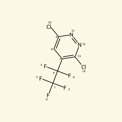 FC(F)(F)C(F)(F)c1cc(Cl)nnc1Cl